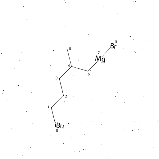 CCC(C)CCCC(C)[CH2][Mg][Br]